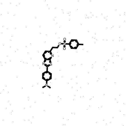 Cc1ccc(S(=O)(=O)OCCc2ccc3nc(-c4ccc(N(C)C)cc4)sc3n2)cc1